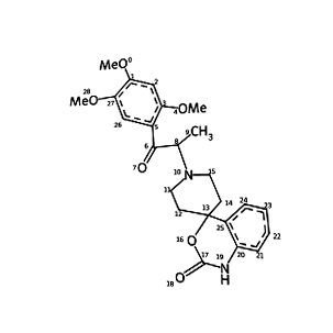 COc1cc(OC)c(C(=O)C(C)N2CCC3(CC2)OC(=O)Nc2ccccc23)cc1OC